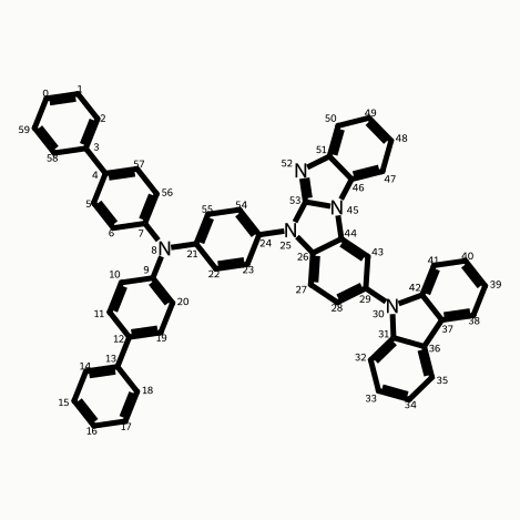 c1ccc(-c2ccc(N(c3ccc(-c4ccccc4)cc3)c3ccc(-n4c5ccc(-n6c7ccccc7c7ccccc76)cc5n5c6ccccc6nc45)cc3)cc2)cc1